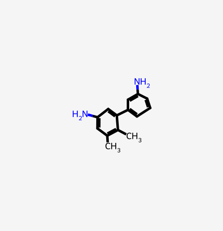 Cc1cc(N)cc(-c2cccc(N)c2)c1C